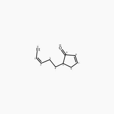 CC/C=C\CCC1CC=CC1=O